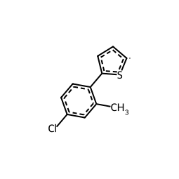 Cc1cc(Cl)ccc1-c1cc[c]s1